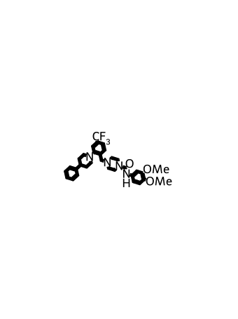 COc1ccc(NC(=O)N2CCN(Cc3ccc(C(F)(F)F)cc3N3CCC(c4ccccc4)CC3)CC2)cc1OC